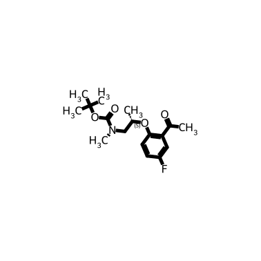 CC(=O)c1cc(F)ccc1O[C@@H](C)CN(C)C(=O)OC(C)(C)C